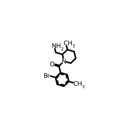 Cc1ccc(Br)c(C(=O)N2CCCC(C)C2CN)c1